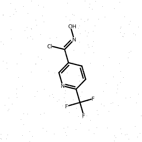 O/N=C(\Cl)c1ccc(C(F)(F)F)nc1